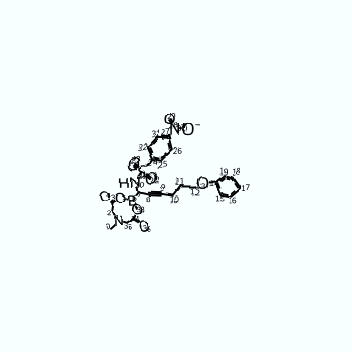 CN1CC(=O)OB(C(C#CCCCOc2ccccc2)NS(=O)(=O)c2ccc([N+](=O)[O-])cc2)OC(=O)C1